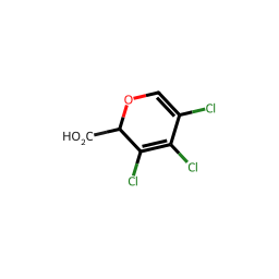 O=C(O)C1OC=C(Cl)C(Cl)=C1Cl